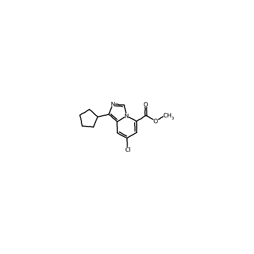 COC(=O)c1cc(Cl)cc2c(C3CCCC3)ncn12